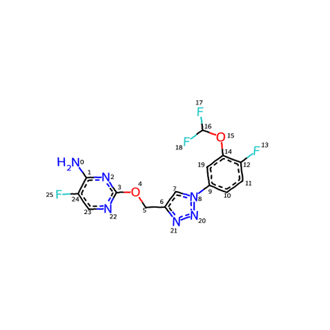 Nc1nc(OCc2cn(-c3ccc(F)c(OC(F)F)c3)nn2)ncc1F